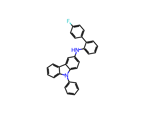 Fc1ccc(-c2ccccc2Nc2ccc3c(c2)c2ccccc2n3-c2ccccc2)cc1